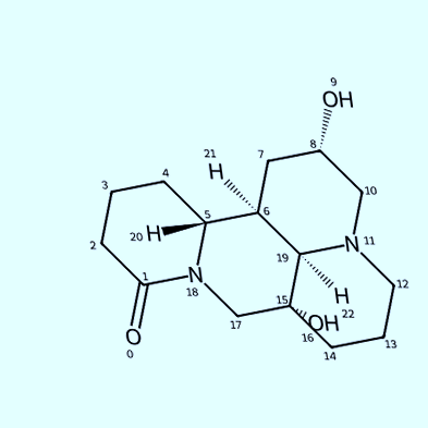 O=C1CCC[C@@H]2[C@H]3C[C@H](O)CN4CCC[C@@](O)(CN12)[C@@H]34